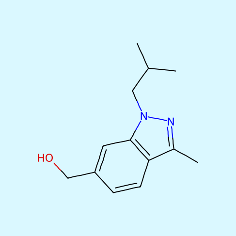 Cc1nn(CC(C)C)c2cc(CO)ccc12